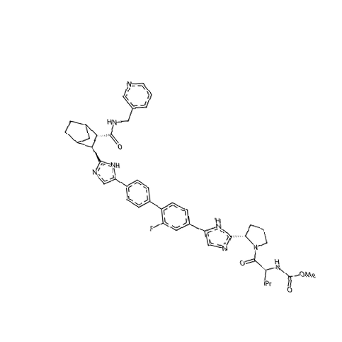 COC(=O)NC(C(=O)N1CCC[C@H]1c1ncc(-c2ccc(-c3ccc(-c4cnc([C@H]5C6CCC(C6)[C@@H]5C(=O)NCc5cccnc5)[nH]4)cc3)c(F)c2)[nH]1)C(C)C